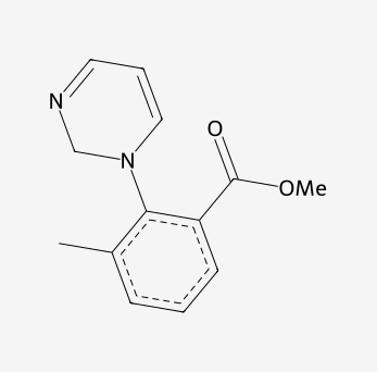 COC(=O)c1cccc(C)c1N1C=CC=NC1